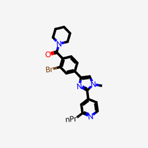 CCCc1cc(-c2nc(-c3ccc(C(=O)N4CCCCC4)c(Br)c3)cn2C)ccn1